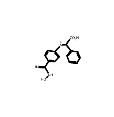 N=C(NO)c1ccc(NC(C(=O)O)c2ccccc2)cc1